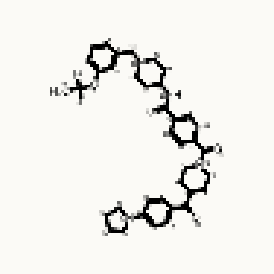 CC(F)(F)Oc1cccc(CN2CCC(NC(=O)c3ccc(C(=O)N4CCC(C(=O)c5ccc(N6CCCC6)cc5)CC4)nc3)CC2)c1